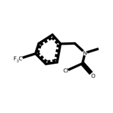 CN(Cc1ccc(C(F)(F)F)cc1)C(=O)Cl